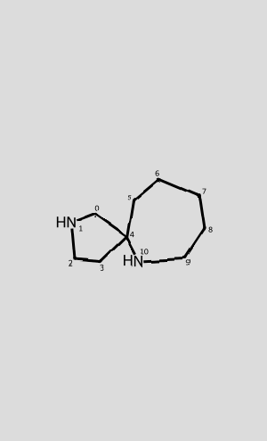 [CH]1NCCC12CCCCCN2